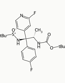 C[C@H](NC(=O)OC(C)(C)C)[C@](N[S+]([O-])C(C)(C)C)(c1ccc(F)cc1)c1ccnc(F)c1